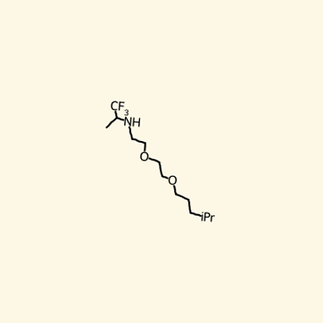 CC(C)CCCOCCOCCNC(C)C(F)(F)F